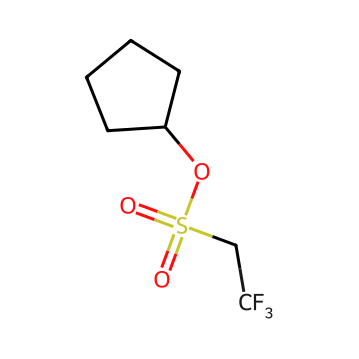 O=S(=O)(CC(F)(F)F)OC1CCCC1